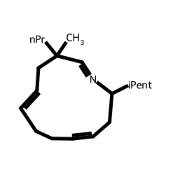 CCCC(C)C1C/C=C/CC/C=C/CC(C)(CCC)/C=N/1